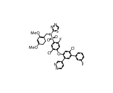 COC1=CC(OC)=C(CN(c2nncs2)S(=O)(=O)c2cc(Cl)c(Oc3cc(Cl)c(-c4cccc(F)c4)cc3-c3ccnnc3)cc2F)CC1